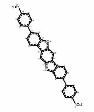 CCCCCCCCc1ccc(-c2ccc3c(c2)oc2cc4c(cc23)oc2cc(-c3ccc(CCCCCCCC)cc3)ccc24)cc1